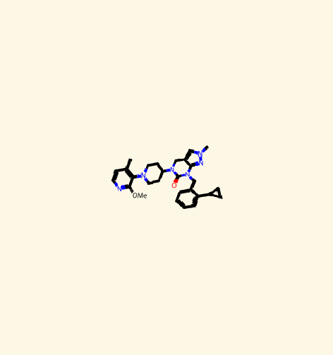 COc1nccc(C)c1N1CCC(N2Cc3cn(C)nc3N(Cc3ccccc3C3CC3)C2=O)CC1